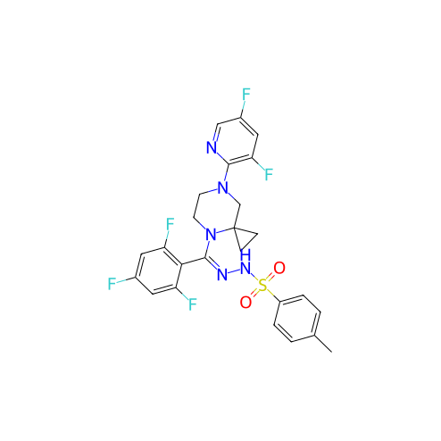 Cc1ccc(S(=O)(=O)N/N=C(/c2c(F)cc(F)cc2F)N2CCN(c3ncc(F)cc3F)CC23CC3)cc1